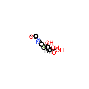 COc1cccc(-n2cc3c(n2)C=C2CC[C@H]4[C@@H]5C[C@@H](C)[C@](O)(C(=O)CO)[C@@]5(C)C[C@H](O)[C@]4(F)[C@@]2(C)C3)c1